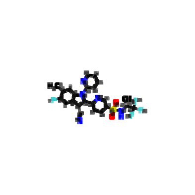 Cc1cc2c(cc1F)c(C#N)c(-c1ccc(S(=O)(=O)N[C@H](C)C(F)(F)F)cn1)n2-c1ccccn1